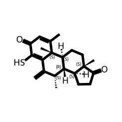 C=C1C2=C(S)C(=O)C=C(C)[C@]2(C)[C@H]2CC[C@]3(C)C(=O)CC[C@H]3[C@@H]2[C@@H]1C